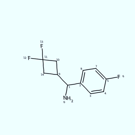 NC(c1ccc(F)cc1)C1CC(F)(F)C1